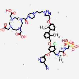 Cc1c(COc2cc(OCc3cncc(C#N)c3)c(CN(C)CC(=O)NCC(S(=O)(=O)O)S(=O)(=O)O)cc2Cl)cccc1-c1cccc(OCc2cn(CCCN3CCN(C(=O)CN4CCN(CC(=O)O)CCN(CC(=O)O)CCN(CC(=O)O)CC4)CC3)nn2)c1C